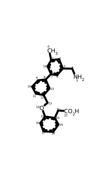 Cc1cc(CN)cc(-c2cccc(COc3ccccc3CC(=O)O)c2)c1